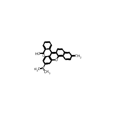 C=c1ccc2c3c(ccc2c1)=C(c1ccccc1C(=O)O)c1ccc(N(C)C)cc1O3